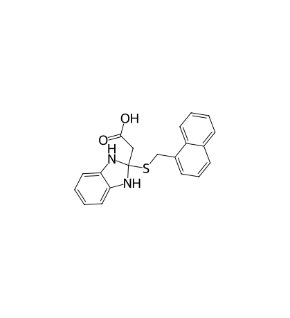 O=C(O)CC1(SCc2cccc3ccccc23)Nc2ccccc2N1